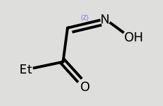 CCC(=O)/C=N\O